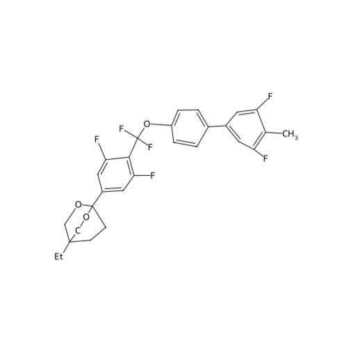 CCC12CCC(c3cc(F)c(C(F)(F)Oc4ccc(-c5cc(F)c(C)c(F)c5)cc4)c(F)c3)(OC1)OC2